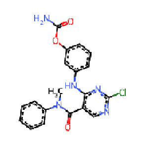 CN(C(=O)c1cnc(Cl)nc1Nc1cccc(OC(N)=O)c1)c1ccccc1